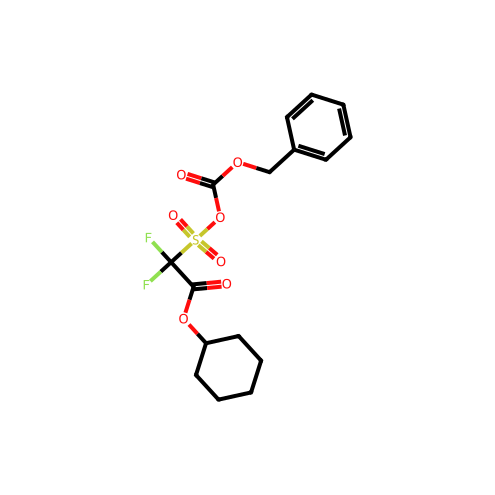 O=C(OCc1ccccc1)OS(=O)(=O)C(F)(F)C(=O)OC1CCCCC1